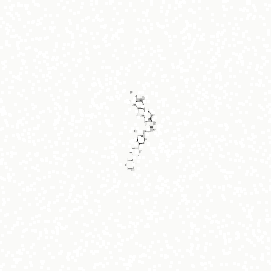 CC1CCC(C2CCC(c3ccc(CCC(F)(F)Oc4ccc(-c5cc(F)c(C(F)(F)F)c(F)c5)c(F)c4)c(F)c3F)CC2)CC1